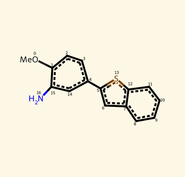 COc1ccc(-c2cc3ccccc3s2)cc1N